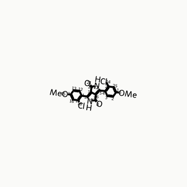 COc1ccc(C2=C3C(=O)NC(c4ccc(OC)cc4Cl)=C3C(=O)N2)c(Cl)c1